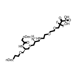 CCCCCCCCCCCCOC[C@H](CSC[C@H](N)CNCCOCCOCC(F)(F)C(=O)P(=O)(O)O)NC(=O)CCCCCCCCCCC